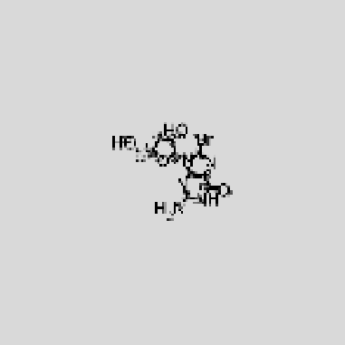 Nc1nc2c(nc(Br)n2[C@@H]2O[C@H](CO)C[C@H]2O)c(=O)[nH]1